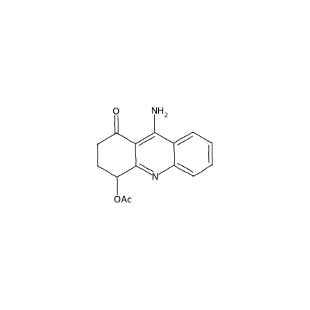 CC(=O)OC1CCC(=O)c2c1nc1ccccc1c2N